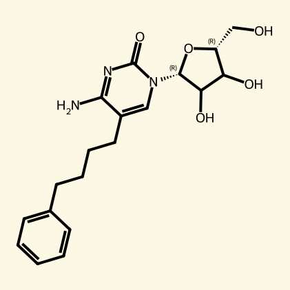 Nc1nc(=O)n([C@@H]2O[C@H](CO)C(O)C2O)cc1CCCCc1ccccc1